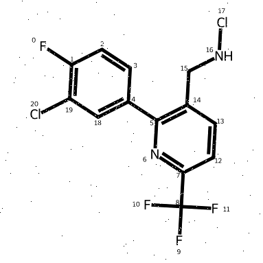 Fc1ccc(-c2nc(C(F)(F)F)ccc2CNCl)cc1Cl